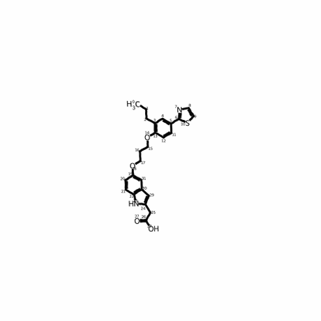 CCCc1cc(-c2nccs2)ccc1OCCCOc1ccc2[nH]c(CC(=O)O)cc2c1